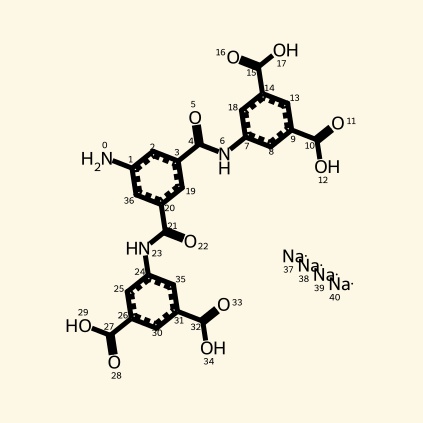 Nc1cc(C(=O)Nc2cc(C(=O)O)cc(C(=O)O)c2)cc(C(=O)Nc2cc(C(=O)O)cc(C(=O)O)c2)c1.[Na].[Na].[Na].[Na]